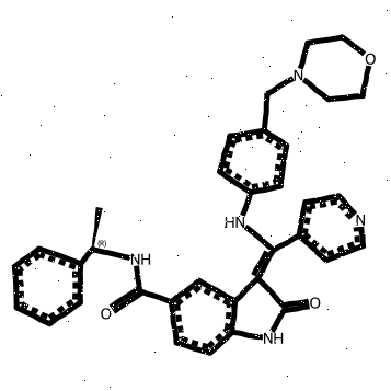 C[C@@H](NC(=O)c1ccc2c(c1)C(=C(Nc1ccc(CN3CCOCC3)cc1)c1ccncc1)C(=O)N2)c1ccccc1